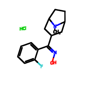 CN1C2CCC1CC(C(=NO)c1ccccc1F)C2.Cl